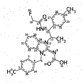 Cc1ccc(Cn2c(=NC(=O)O)n(C(C)C(NC(=O)CF)c3ccc(C)cc3)c3ccccc32)cc1